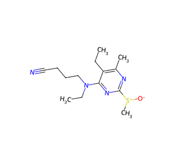 CCc1c(C)nc([S+](C)[O-])nc1N(CC)CCCC#N